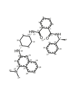 C[C@H](NC(=O)c1ccccc1C(=O)N[C@H]1CC[C@@H](Nc2cc(N(C)C)c3ccccc3n2)CC1)c1ccccc1